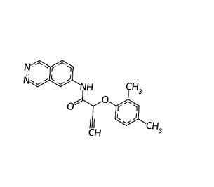 C#CC(Oc1ccc(C)cc1C)C(=O)Nc1ccc2cnncc2c1